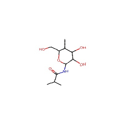 CC(C)C(=O)NC1OC(CO)C(C)C(O)C1O